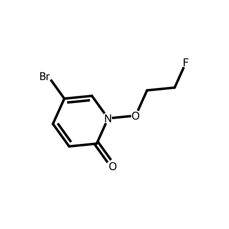 O=c1ccc(Br)cn1OCCF